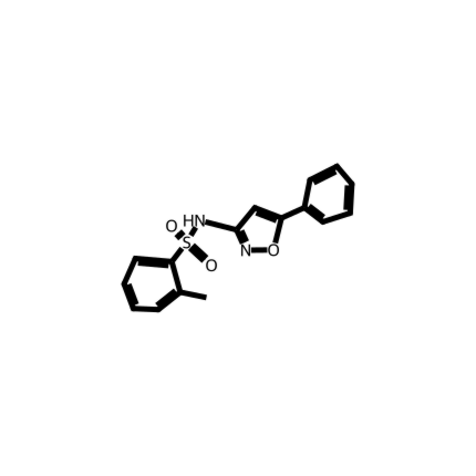 Cc1ccccc1S(=O)(=O)Nc1cc(-c2ccccc2)on1